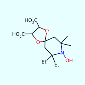 CCC1(CC)CC2(CC(C)(C)N1O)OC(C(=O)O)C(C(=O)O)O2